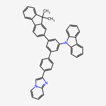 CC1(C)c2ccccc2-c2ccc(-c3cc(-c4ccc(-c5cn6ccccc6n5)cc4)cc(-n4c5ccccc5c5ccccc54)c3)cc21